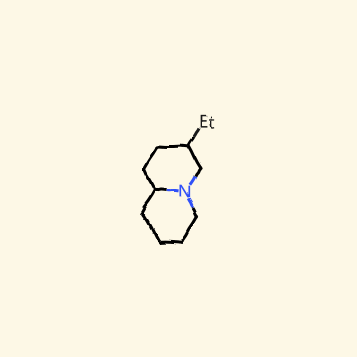 CCC1CCC2CCCCN2C1